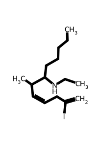 C=C(I)C/C=C\C(C)C(CCCCC)NCC